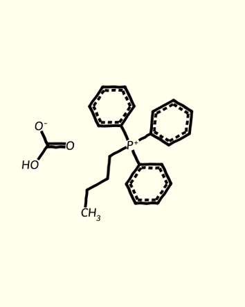 CCCC[P+](c1ccccc1)(c1ccccc1)c1ccccc1.O=C([O-])O